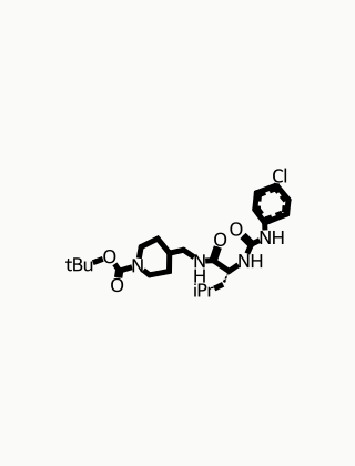 CC(C)C[C@@H](NC(=O)Nc1ccc(Cl)cc1)C(=O)NCC1CCN(C(=O)OC(C)(C)C)CC1